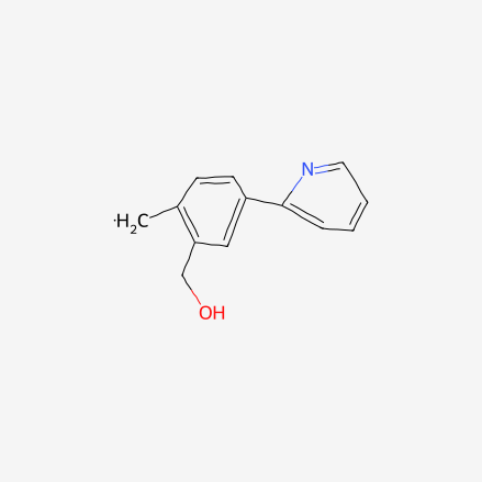 [CH2]c1ccc(-c2ccccn2)cc1CO